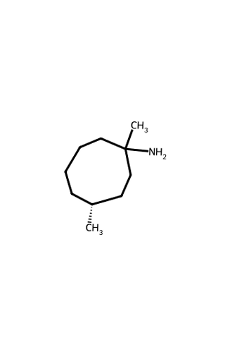 C[C@@H]1CCCCC(C)(N)CC1